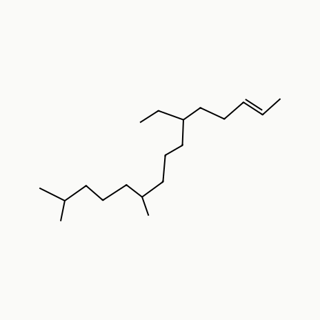 C/C=C/CCC(CC)CCCC(C)CCCC(C)C